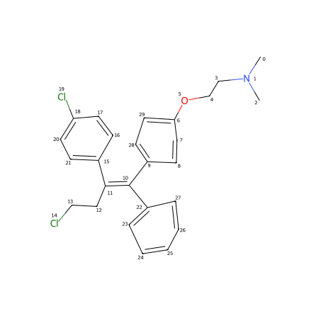 CN(C)CCOc1ccc(/C(=C(/CCCl)c2ccc(Cl)cc2)c2ccccc2)cc1